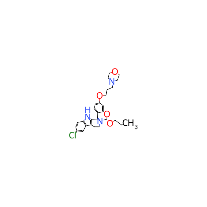 CCCOC(=O)N1CCc2c([nH]c3ccc(Cl)cc23)C1c1ccc(OCCCN2CCOCC2)cc1